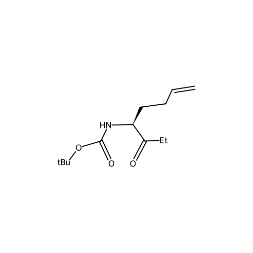 C=CCC[C@H](NC(=O)OC(C)(C)C)C(=O)CC